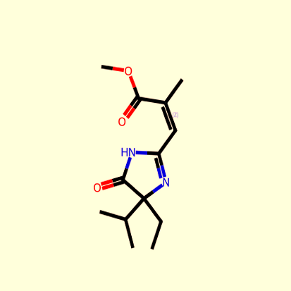 CCC1(C(C)C)N=C(/C=C(/C)C(=O)OC)NC1=O